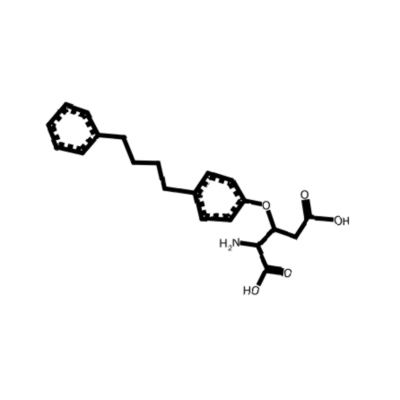 NC(C(=O)O)C(CC(=O)O)Oc1ccc(CCCCc2ccccc2)cc1